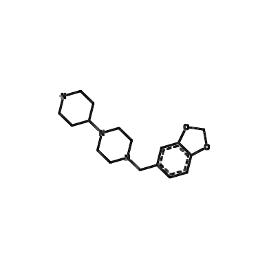 c1cc2c(cc1CN1CCN(C3CC[N]CC3)CC1)OCO2